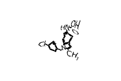 Cc1cc2cc(NC(=O)O)ccc2n1Cc1ccc(Cl)cc1